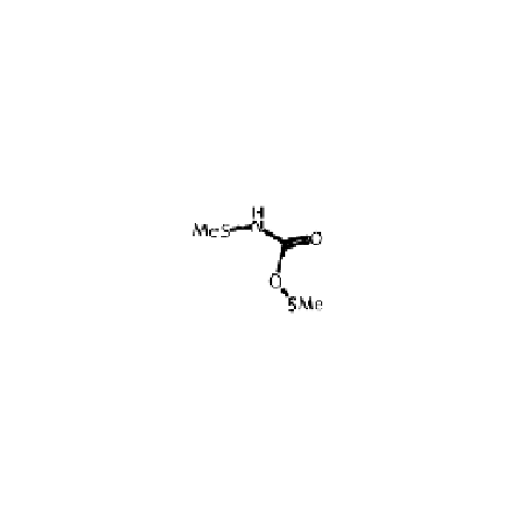 CSNC(=O)OSC